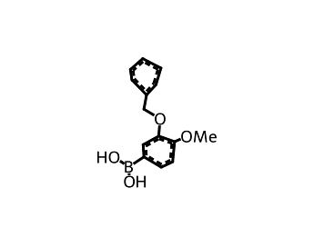 COc1ccc(B(O)O)cc1OCc1ccccc1